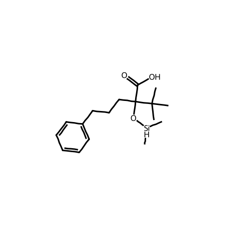 C[SiH](C)OC(CCCc1ccccc1)(C(=O)O)C(C)(C)C